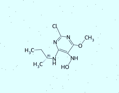 CC[C@@H](C)Nc1nc(Cl)nc(OC)c1NO